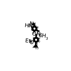 CCOc1cc(C(=O)N(C)Cc2ccc3[nH]ncc3c2)ccc1C1CC1